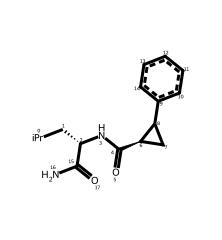 CC(C)C[C@H](NC(=O)[C@@H]1CC1c1ccccc1)C(N)=O